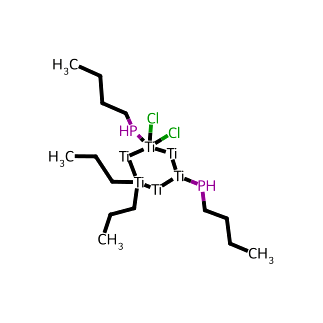 CCCC[PH][Ti]1[Ti][Ti]([CH2]CC)([CH2]CC)[Ti][Ti]([Cl])([Cl])([PH]CCCC)[Ti]1